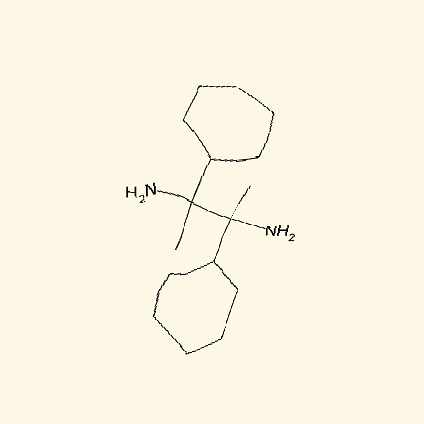 CC(N)(C1CCCCC1)C(C)(N)C1CCCCC1